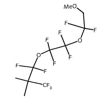 COCC(F)(F)OC(F)(F)C(F)(F)OC(F)(F)C(C)(C)C(F)(F)F